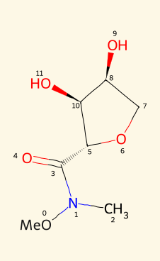 CON(C)C(=O)[C@H]1OC[C@H](O)[C@@H]1O